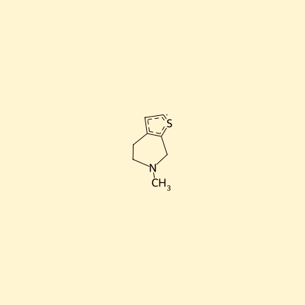 CN1CCc2c[c]sc2C1